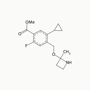 COC(=O)c1cc(C2CC2)c(COC2(C)CCN2)cc1F